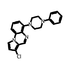 Clc1ccn2c1cnc1c(N3CCN(c4ccccc4)CC3)cccc12